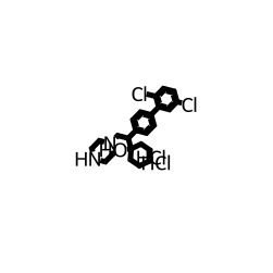 Cl.Cl.OC1(C(CN2CCNCC2)c2ccc(-c3cc(Cl)ccc3Cl)cc2)CCCCC1